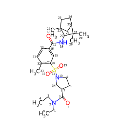 CCN(CC)C(=O)C1CCN(S(=O)(=O)c2cc(C(=O)NC3C4(C)CCC(C4)C3(C)C)ccc2C)C1